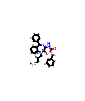 O=C(NC1N=C(c2ccccc2)c2ccccc2N(CCCC(F)(F)F)C1=O)OCc1ccccc1